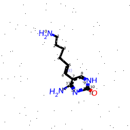 NCCCC/C=C/c1c[nH]c(=O)nc1N